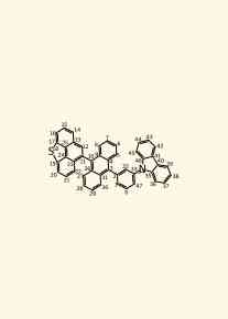 c1cc(-c2c3ccccc3c(-c3cc4cccc5sc6cccc3c6c45)c3ccccc23)cc(-n2c3ccccc3c3ccccc32)c1